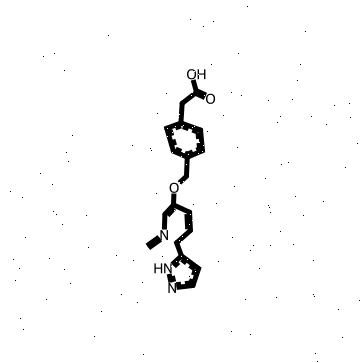 C=N/C=C(\C=C/Cc1ccn[nH]1)OCc1ccc(CC(=O)O)cc1